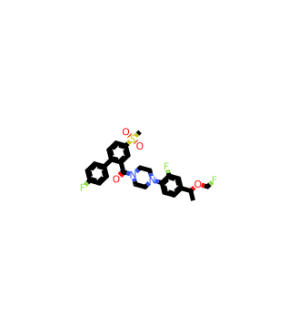 CC(OCF)c1ccc(N2CCN(C(=O)c3cc(S(C)(=O)=O)ccc3-c3ccc(F)cc3)CC2)c(F)c1